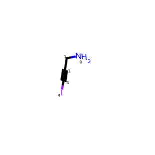 NCC#CI